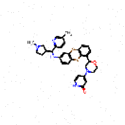 Cc1ccc(C(Nc2ccc3c(c2)Sc2cccc(C4CN(c5cc[nH]c(=O)c5)CCO4)c2S3)C2CCN(C)C2)nc1